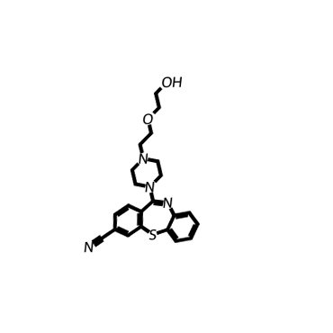 N#Cc1ccc2c(c1)Sc1ccccc1N=C2N1CCN(CCOCCO)CC1